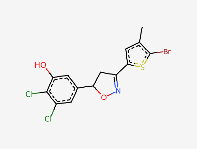 Cc1cc(C2=NOC(c3cc(O)c(Cl)c(Cl)c3)C2)sc1Br